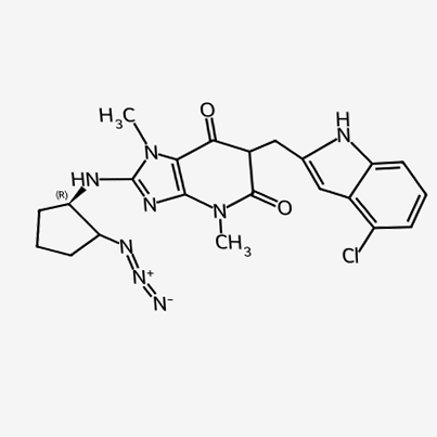 CN1C(=O)C(Cc2cc3c(Cl)cccc3[nH]2)C(=O)c2c1nc(N[C@@H]1CCCC1N=[N+]=[N-])n2C